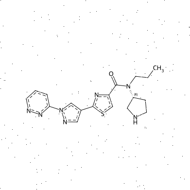 CCCN(C(=O)c1csc(-c2cnn(-c3cccnn3)c2)n1)[C@@H]1CCNC1